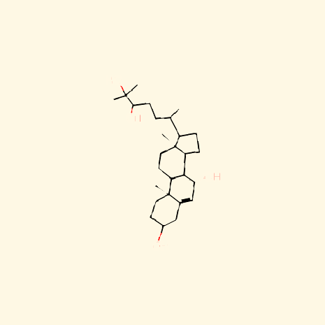 CC(CCC(O)C(C)(C)O)C1CCC2C3C(CC[C@]12C)[C@@]1(C)CCC(O)CC1=C[C@H]3O